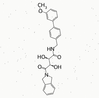 COc1cccc(-c2ccc(CNC(=O)[C@H](O)[C@@H](O)C(=O)N3Cc4ccccc4C3)cc2)c1